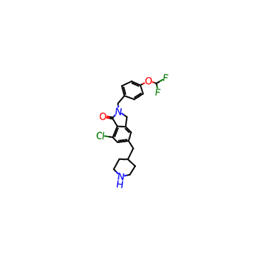 O=C1c2c(Cl)cc(CC3CCNCC3)cc2CN1Cc1ccc(OC(F)F)cc1